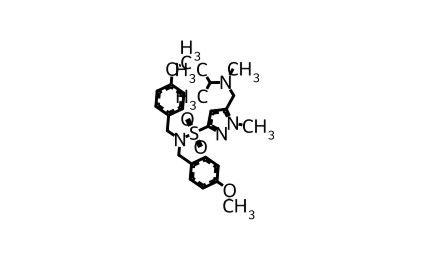 COc1ccc(CN(Cc2ccc(OC)cc2)S(=O)(=O)c2cc(CN(C)C(C)C)n(C)n2)cc1